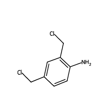 Nc1ccc(CCl)cc1CCl